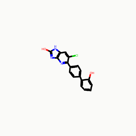 Oc1nc2nc(-c3ccc(-c4ccccc4O)cc3)c(Cl)cc2[nH]1